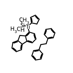 C[SiH](C)[Ti]([C]1=CC=CC1)[c]1cccc2c1Cc1ccccc1-2.c1ccc(CCc2ccccc2)cc1